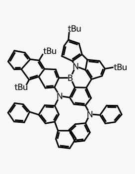 CC(C)(C)c1ccc2c(c1)c1cc(C(C)(C)C)cc3c1n2B1c2cc4c(C(C)(C)C)c5ccccc5c(C(C)(C)C)c4cc2N(c2cc(-c4ccccc4)cc(-c4ccccc4)c2)c2cc(N(c4ccccc4)c4ccccc4)cc-3c21